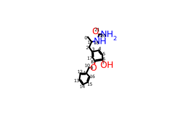 CC(Cc1ccc(O)c(OCc2ccccc2)c1)NC(N)=O